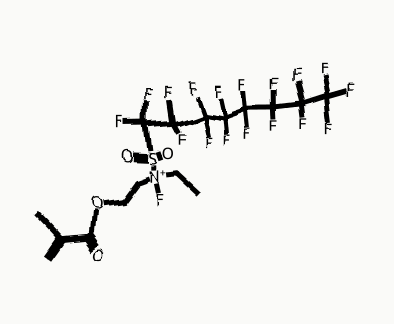 C=C(C)C(=O)OCC[N+](F)(CC)S(=O)(=O)C(F)(F)C(F)(F)C(F)(F)C(F)(F)C(F)(F)C(F)(F)C(F)(F)C(F)(F)F